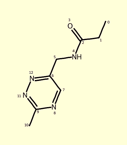 CCC(=O)NCc1cnc(C)nn1